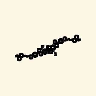 C=CC(=O)OCCCCOc1ccc(C(=O)Oc2ccc(C(c3ccc(OC(=O)c4ccc(OCCCCOC(=O)C=C)cc4)cc3)(C(F)(F)F)C(F)(F)F)cc2)cc1